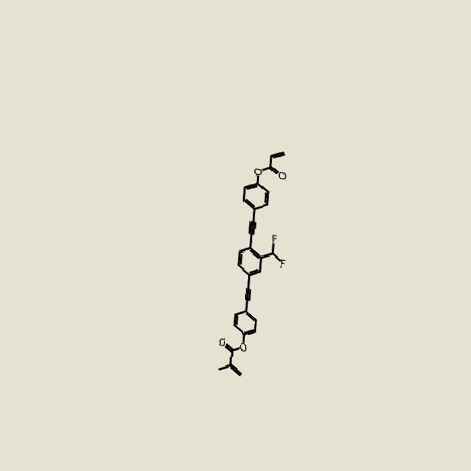 C=CC(=O)Oc1ccc(C#Cc2ccc(C#Cc3ccc(OC(=O)C(=C)C)cc3)cc2C(F)F)cc1